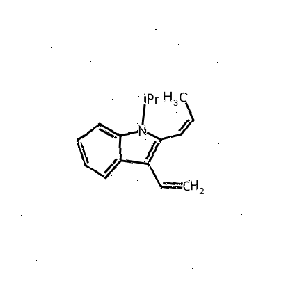 C=Cc1c(/C=C\C)n(C(C)C)c2ccccc12